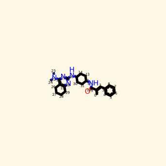 CC(=Cc1ccccc1)C(=O)NC1CCC(Nc2nc3c(c(N(C)C)n2)CCCC3)CC1